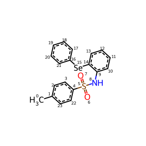 Cc1ccc(S(=O)(=O)Nc2ccccc2[Se]c2ccccc2)cc1